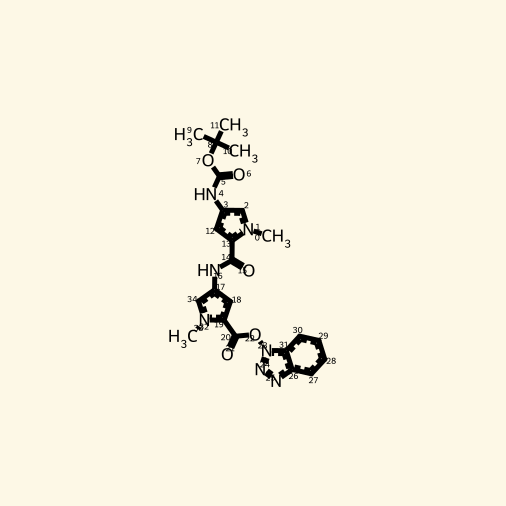 Cn1cc(NC(=O)OC(C)(C)C)cc1C(=O)Nc1cc(C(=O)On2nnc3ccccc32)n(C)c1